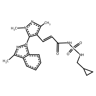 Cc1nn(C)c(-n2nc(C)c3ccccc32)c1/C=C/C(=O)NS(=O)(=O)NCC1CC1